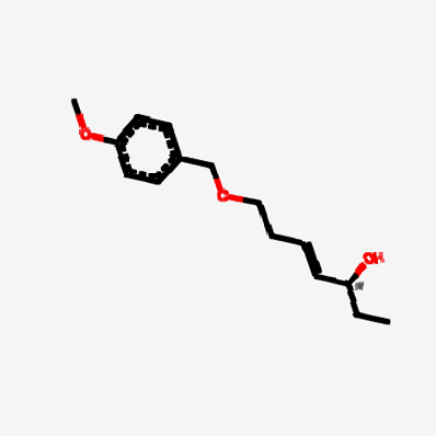 CC[C@H](O)C=CCCOCc1ccc(OC)cc1